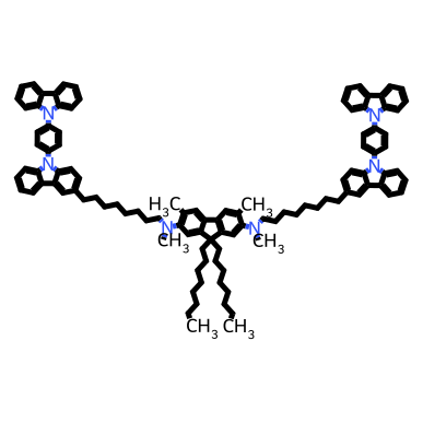 CCCCCCCCC1(CCCCCCCC)c2cc(N(C)CCCCCCCCc3ccc4c(c3)c3ccccc3n4-c3ccc(-n4c5ccccc5c5ccccc54)cc3)c(C)cc2-c2cc(C)c(N(C)CCCCCCCCc3ccc4c(c3)c3ccccc3n4-c3ccc(-n4c5ccccc5c5ccccc54)cc3)cc21